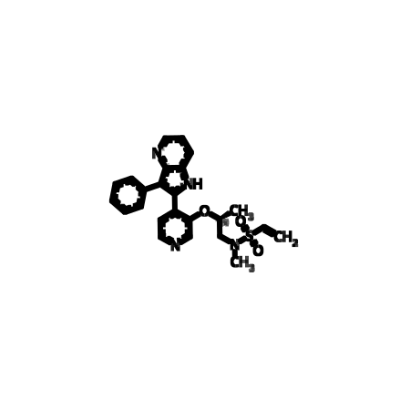 C=CS(=O)(=O)N(C)C[C@H](C)Oc1cnccc1-c1[nH]c2cccnc2c1-c1ccccc1